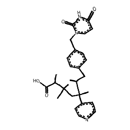 CC(C(=O)O)C(C)(C)CC(C)(c1ccncc1)C(C)Cc1ccc(Cn2ccc(=O)[nH]c2=O)cc1